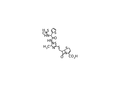 CC(=S)NC(C(=O)NN1SC(SCC2C(=O)N3C(C(=O)O)=CCSC23)=NC1C)c1cccs1